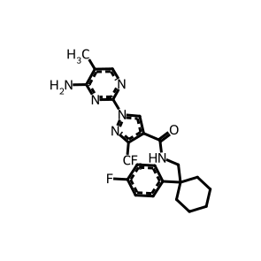 Cc1cnc(-n2cc(C(=O)NCC3(c4ccc(F)cc4)CCCCC3)c(C(F)(F)F)n2)nc1N